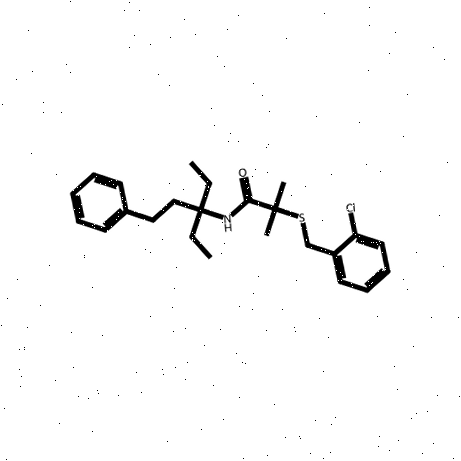 CCC(CC)(CCc1ccccc1)NC(=O)C(C)(C)SCc1ccccc1Cl